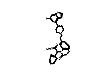 COC(=O)C(c1ccccc1)N1C(=O)CCc2ccc(CCN3CCN(c4cc(F)cc5sccc45)CC3)cc21